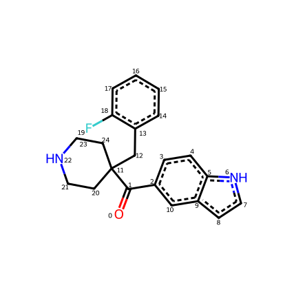 O=C(c1ccc2[nH]ccc2c1)C1(Cc2ccccc2F)CCNCC1